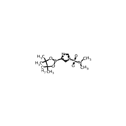 CN(C)S(=O)(=O)n1cnc(B2OC(C)(C)C(C)(C)O2)c1